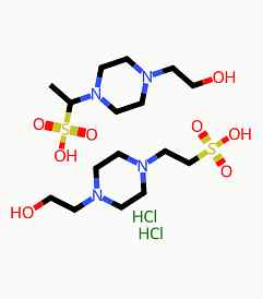 CC(N1CCN(CCO)CC1)S(=O)(=O)O.Cl.Cl.O=S(=O)(O)CCN1CCN(CCO)CC1